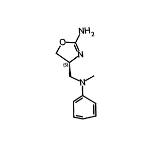 CN(C[C@H]1COC(N)=N1)c1ccccc1